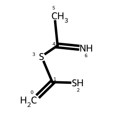 C=C(S)SC(C)=N